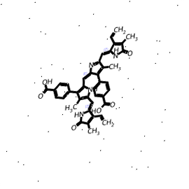 C=CC1=C(C)C(=O)N/C1=C\C1=NC(=C/c2[nH]c(/C=C3\NC(=O)C(C)=C3C=C)c(C)c2-c2ccc(C(=O)O)cc2)/C(c2ccc(C(=O)O)cc2)=C1C